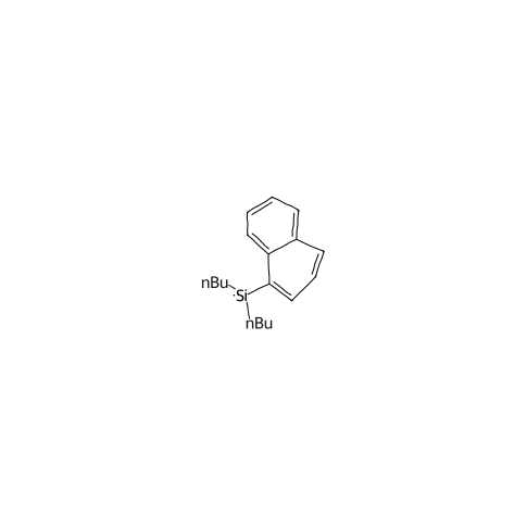 CCCC[Si](CCCC)c1cccc2ccccc12